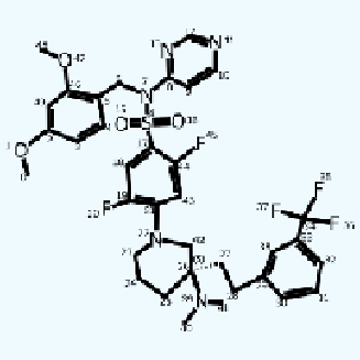 COc1ccc(CN(c2ccncn2)S(=O)(=O)c2cc(F)c(N3CCC[C@](CCc4cccc(C(F)(F)F)c4)(N(C)C)C3)cc2F)c(OC)c1